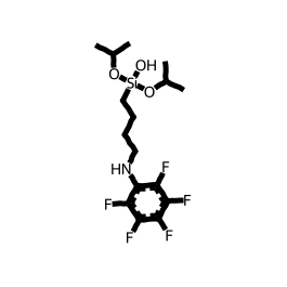 CC(C)O[Si](O)(CCCCNc1c(F)c(F)c(F)c(F)c1F)OC(C)C